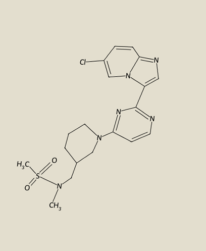 CN(CC1CCCN(c2ccnc(-c3cnc4ccc(Cl)cn34)n2)C1)S(C)(=O)=O